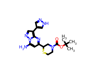 CC(C)(C)OC(=O)N1CCSC(c2cc(N)n3ncc(-c4cn[nH]c4)c3n2)C1